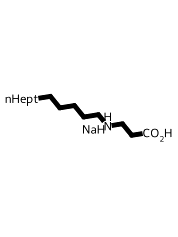 CCCCCCCCCCCCNCCC(=O)O.[NaH]